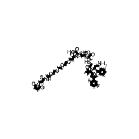 CC(C)(C)[C@H](c1cc(-c2cc(F)ccc2F)cn1Cc1ccccc1)N(CCCN)C(=O)CSC[C@H](NC(=O)CC[C@H](NC(=O)CCOCCOCCOCCOCCNC(=O)CCN1C(=O)C=CC1=O)C(=O)O)C(=O)O